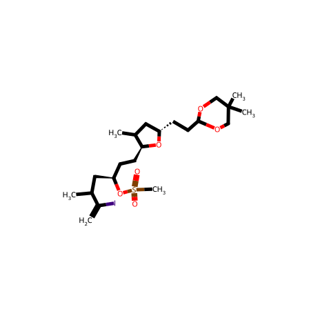 C=C(I)C(C)C[C@@H](CC[C@@H]1O[C@@H](CCC2OCC(C)(C)CO2)CC1C)OS(C)(=O)=O